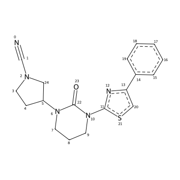 N#CN1CCC(N2CCCN(c3nc(-c4ccccc4)cs3)C2=O)C1